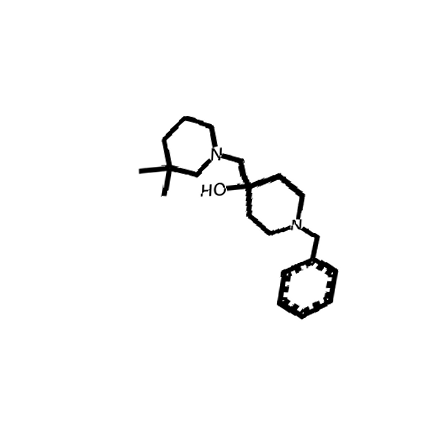 CC1(C)CCCN(CC2(O)CCN(Cc3ccccc3)CC2)C1